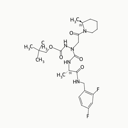 C[C@H](NC(=O)N(CC(=O)N1CCCC[C@@H]1C)NC(=O)OCC(C)(C)C)C(=O)NCc1ccc(F)cc1F